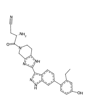 CCc1cc(O)ccc1-c1ccc2c(-c3nc4c([nH]3)CCN(C(=O)[C@@H](N)CC#N)C4)n[nH]c2c1